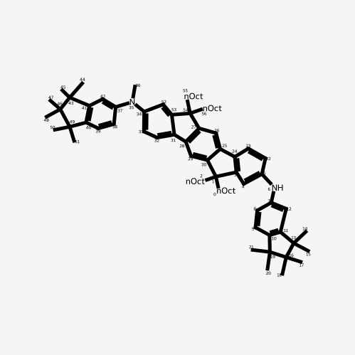 CCCCCCCCC1(CCCCCCCC)c2cc(Nc3ccc4c(c3)C(C)(C)C(C)(C)C4(C)C)ccc2-c2cc3c(cc21)-c1ccc(N(C)c2ccc4c(c2)C(C)(C)C(C)(C)C4(C)C)cc1C3(CCCCCCCC)CCCCCCCC